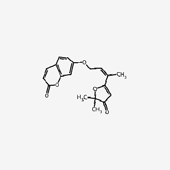 CC(=CCOc1ccc2ccc(=O)oc2c1)C1=CC(=O)C(C)(C)O1